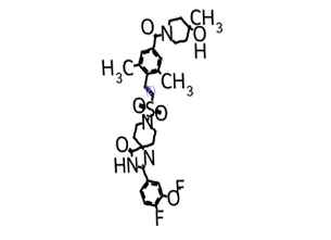 Cc1cc(C(=O)N2CCC(C)(O)CC2)cc(C)c1/C=C/S(=O)(=O)N1CCC2(CC1)N=C(c1ccc(F)c(OF)c1)NC2=O